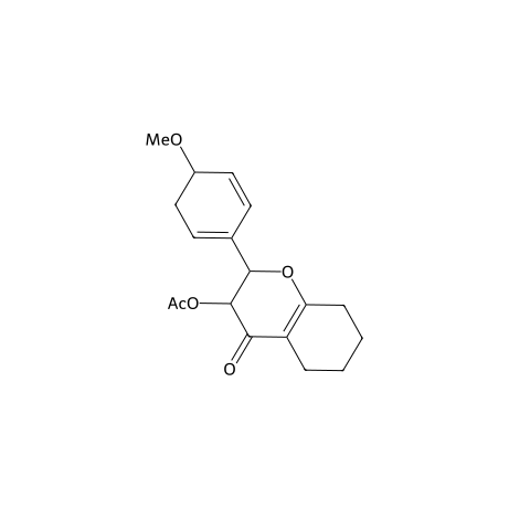 COC1C=CC(C2OC3=C(CCCC3)C(=O)C2OC(C)=O)=CC1